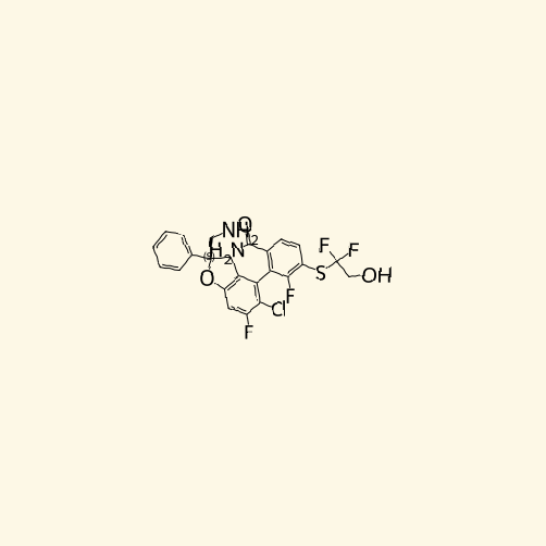 NC[C@@]1(c2ccccc2)Cc2c(cc(F)c(Cl)c2-c2c(C(N)=O)ccc(SC(F)(F)CO)c2F)O1